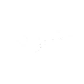 O=C(O)c1csc([C@H]2CC[C@@H]3[C@@H](COc4ccc(Cl)c(C5CC5)c4)[C@H](O)C[C@@H]3O2)n1